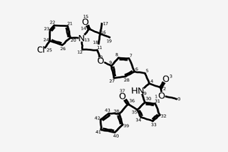 COC(=O)C(Cc1ccc(OCCN(C(=O)C(C)(C)C)c2cccc(Cl)c2)cc1)Nc1ccccc1C(=O)c1ccccc1